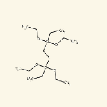 CCO[Si](CC)(CC[Si](CC)(OCC)OCC)OCC